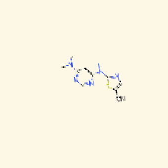 CN(C)c1cc(Nc2ncc(C#N)s2)ncn1